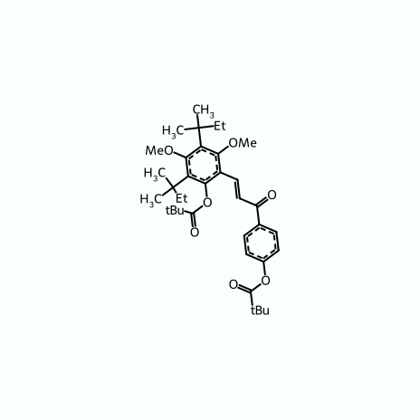 CCC(C)(C)c1c(OC)c(C=CC(=O)c2ccc(OC(=O)C(C)(C)C)cc2)c(OC(=O)C(C)(C)C)c(C(C)(C)CC)c1OC